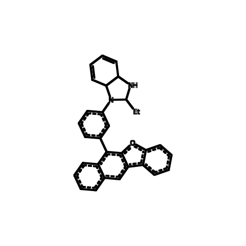 CCC1NC2C=CC=CC2N1c1cccc(-c2c3ccccc3cc3c2oc2ccccc23)c1